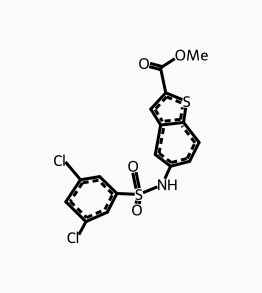 COC(=O)c1cc2cc(NS(=O)(=O)c3cc(Cl)cc(Cl)c3)ccc2s1